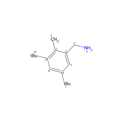 [CH2]c1c(CN)cc(C(C)(C)C)cc1C(C)(C)C